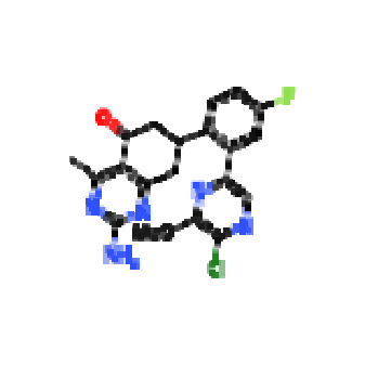 COc1nc(-c2cc(F)ccc2C2CC(=O)c3c(C)nc(N)nc3C2)cnc1Cl